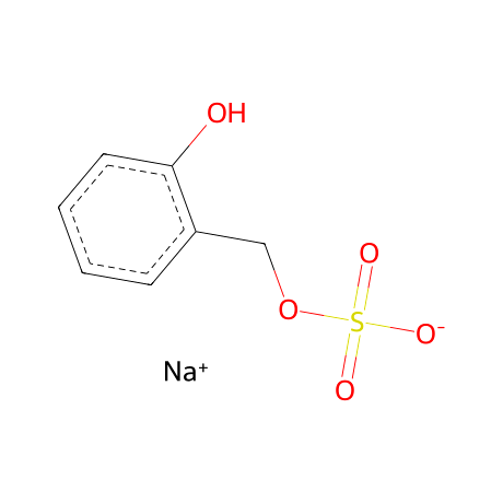 O=S(=O)([O-])OCc1ccccc1O.[Na+]